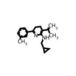 C=C(C)C1=C(NCC2CC2)N=C(c2cccc(C)c2)CC1